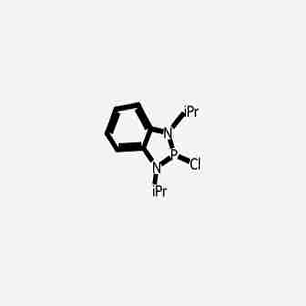 CC(C)N1c2ccccc2N(C(C)C)P1Cl